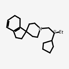 CC[C@H](CN1CCC2(CCC3=C2CCC=C3)CC1)C1CCCC1